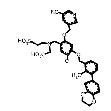 Cc1c(COc2cc(OCc3cncc(C#N)c3)c(CN(CCS(=O)(=O)O)CC(=O)O)cc2Cl)cccc1-c1ccc2c(c1)OCCO2